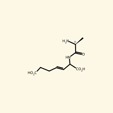 C[C@H](N)C(=O)NC(C=CCCC(=O)O)C(=O)O